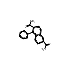 NC(=O)c1ccc2c(-c3ccccc3)c(C(N)=O)ccc2c1